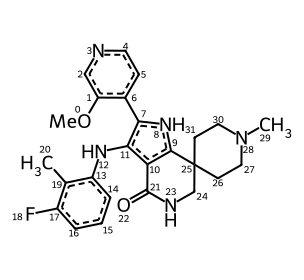 COc1cnccc1-c1[nH]c2c(c1Nc1cccc(F)c1C)C(=O)NCC21CCN(C)CC1